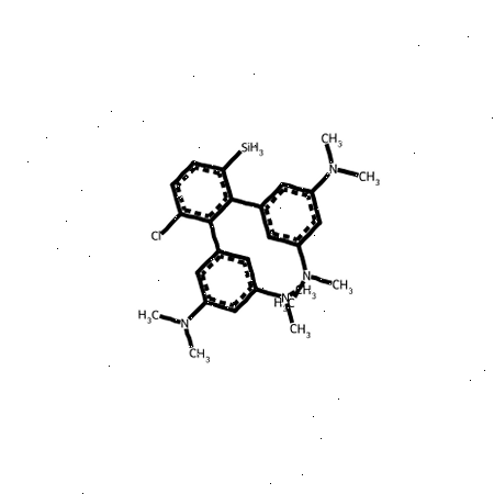 CN(C)c1cc(-c2c([SiH3])ccc(Cl)c2-c2cc(N(C)C)cc(N(C)C)c2)cc(N(C)C)c1